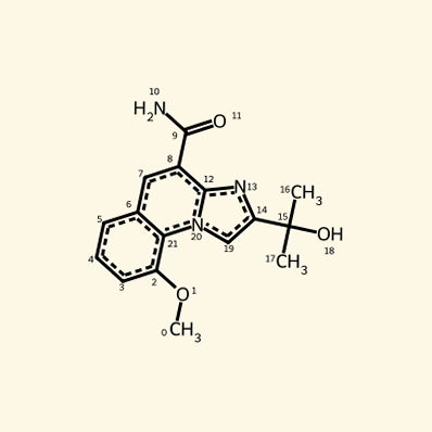 COc1cccc2cc(C(N)=O)c3nc(C(C)(C)O)cn3c12